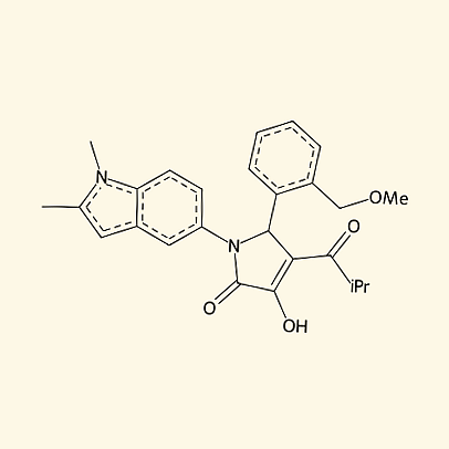 COCc1ccccc1C1C(C(=O)C(C)C)=C(O)C(=O)N1c1ccc2c(c1)cc(C)n2C